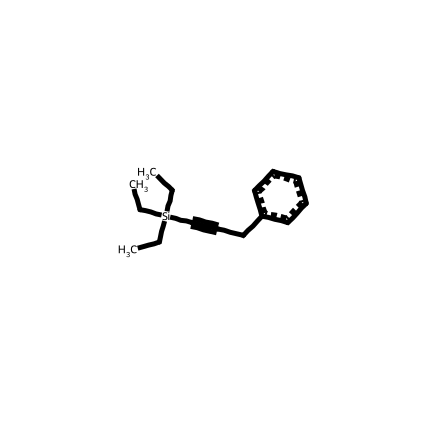 CC[Si](C#C[CH]c1ccccc1)(CC)CC